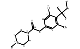 CCC(C)(C)c1c(Cl)cc(CC(=O)N2CCN(C)CC2)cc1Cl